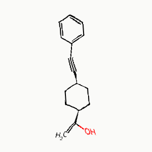 C=C(O)[C@H]1CC[C@@H](C#Cc2ccccc2)CC1